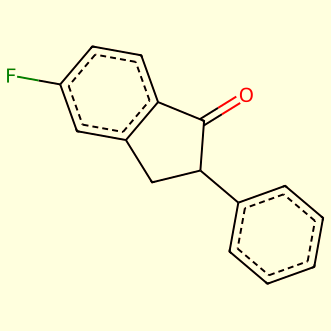 O=C1c2ccc(F)cc2CC1c1ccccc1